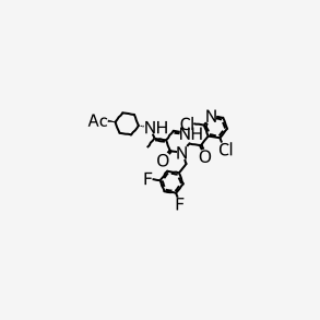 C/C(N[C@H]1CC[C@H](C(C)=O)CC1)=C(/C=N)C(=O)N(CC(=O)c1c(Cl)ccnc1Cl)Cc1cc(F)cc(F)c1